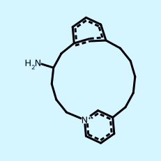 NC1CCC[n+]2cccc(c2)CCCCCc2cccc(c2)C1